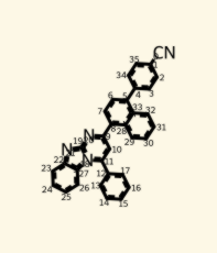 N#Cc1ccc(-c2ccc(-c3cc(-c4ccccc4)n4c(n3)nc3ccccc34)c3ccccc23)cc1